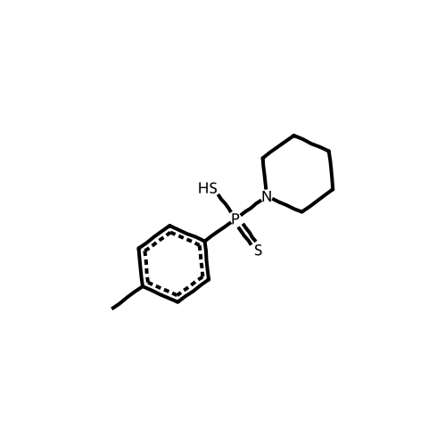 Cc1ccc(P(=S)(S)N2CCCCC2)cc1